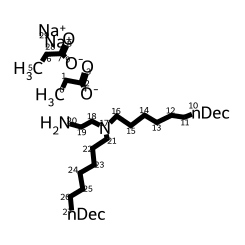 CCC(=O)[O-].CCC(=O)[O-].CCCCCCCCCCCCCCCCN(CCN)CCCCCCCCCCCCCCCC.[Na+].[Na+]